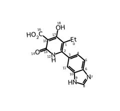 CCc1c(-c2ccc3nc[nH]c3c2)[nH]c(=O)c(C(=O)O)c1O